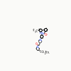 CCOC(=O)C1CCCN(C(=O)CC2CCN(c3ccc(NC(=O)c4ccccc4-c4ccc(C(F)(F)F)cc4)cc3)CC2)C1